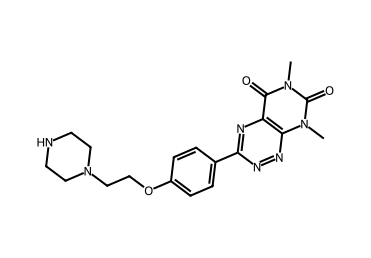 Cn1c(=O)c2nc(-c3ccc(OCCN4CCNCC4)cc3)nnc2n(C)c1=O